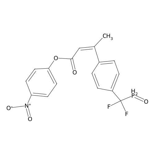 CC(=CC(=O)Oc1ccc([N+](=O)[O-])cc1)c1ccc(C(F)(F)[PH2]=O)cc1